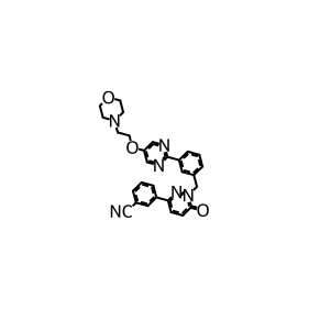 N#Cc1cccc(-c2ccc(=O)n(Cc3cccc(-c4ncc(OCCN5CCOCC5)cn4)c3)n2)c1